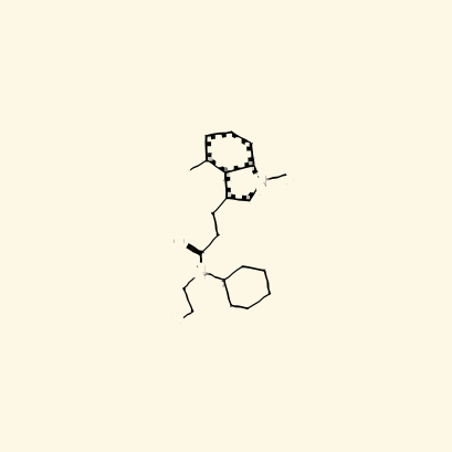 Cc1cccc2c1c(CCC(=O)N(CCO)C1CCCCC1)cn2C